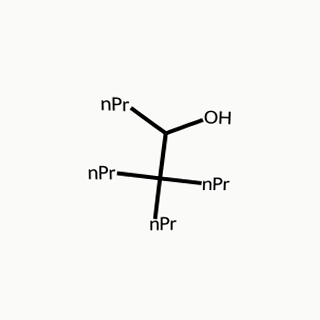 CCCC(O)C(CCC)(CCC)CCC